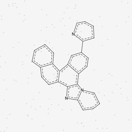 c1ccc(-c2ccc3c(c2)c2c4ccccc4ccc2c2nc4ccccn4c32)nc1